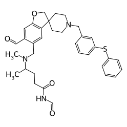 CC(CCC(=O)NC=O)N(C)Cc1cc2c(cc1C=O)OCC21CCN(Cc2cccc(Sc3ccccc3)c2)CC1